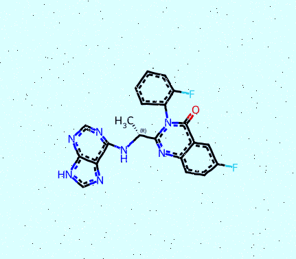 C[C@@H](Nc1ncnc2[nH]cnc12)c1nc2ccc(F)cc2c(=O)n1-c1ccccc1F